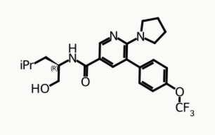 CC(C)C[C@H](CO)NC(=O)c1cnc(N2CCCC2)c(-c2ccc(OC(F)(F)F)cc2)c1